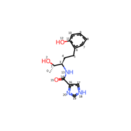 C[C@H](O)[C@@H](CCc1ccccc1O)NC(=O)c1c[nH]cn1